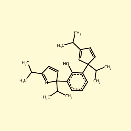 CC(C)C1=NC(c2cccc(C3(C(C)C)C=CC(C(C)C)=N3)c2O)(C(C)C)C=C1